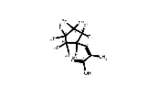 CC(=CC1(F)C(F)(F)C(F)(F)C(F)(F)C1(F)F)C(=O)O